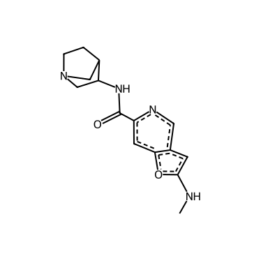 CNc1cc2cnc(C(=O)NC3CN4CCC3C4)cc2o1